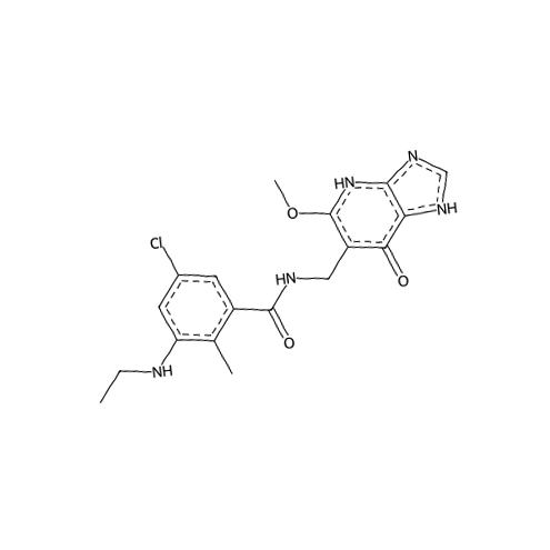 CCNc1cc(Cl)cc(C(=O)NCc2c(OC)[nH]c3nc[nH]c3c2=O)c1C